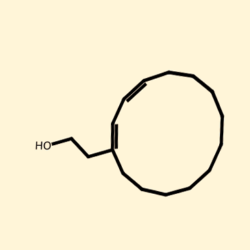 OCCC1=CC=CCCCCCCCCCC1